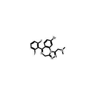 CN(C)Cc1nnc2n1-c1cc(Br)ccc1C(c1c(F)cccc1F)=NC2